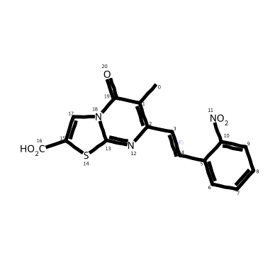 Cc1c(/C=C/c2ccccc2[N+](=O)[O-])nc2sc(C(=O)O)cn2c1=O